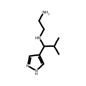 CC(C)C(NCCN)c1cn[nH]c1